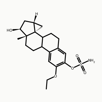 CCOc1cc2c(cc1OS(N)(=O)=O)CCC1C2CC[C@]2(C)[C@@H](O)C[C@@H]3C[C@@]132